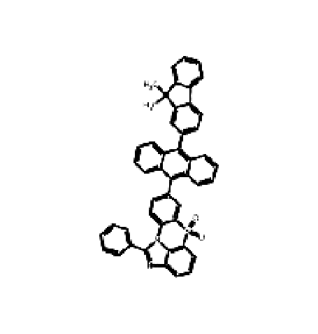 CC1(C)c2ccccc2-c2ccc(-c3c4ccccc4c(-c4ccc5c(c4)S(=O)(=O)c4cccc6nc(-c7ccccc7)n-5c46)c4ccccc34)cc21